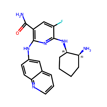 NC(=O)c1cc(F)c(N[C@@H]2CCCC[C@@H]2N)nc1Nc1ccc2ncccc2c1